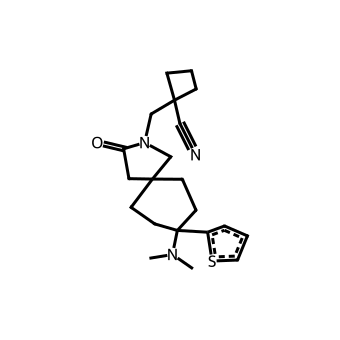 CN(C)C1(c2cccs2)CCC2(CC1)CC(=O)N(CC1(C#N)CCC1)C2